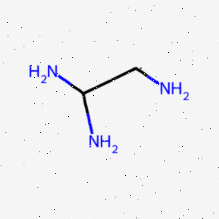 N[CH]C(N)N